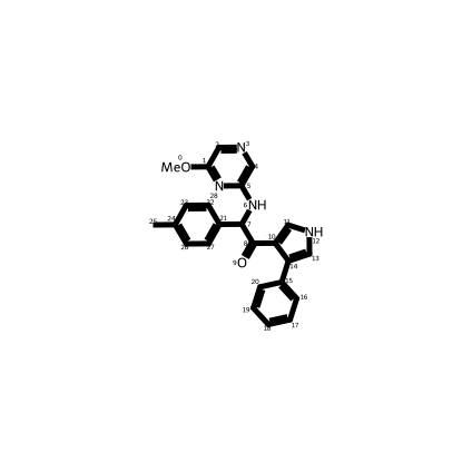 COc1cncc(NC(C(=O)c2c[nH]cc2-c2ccccc2)c2ccc(C)cc2)n1